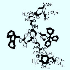 CSCC[C@H](NC(=O)[C@H](C)NC(=O)CNC(=O)[C@H](Cc1cn(C(c2ccccc2)(c2ccccc2)c2ccccc2)cn1)NC(=O)[C@H](CCCNC(=N)NS(=O)(=O)c1c(C)c(C)c2c(c1C)CC(C)(C)O2)NC(=O)OCC1c2ccccc2-c2ccccc21)C(=O)N[C@H](C(=O)O)C(C)C